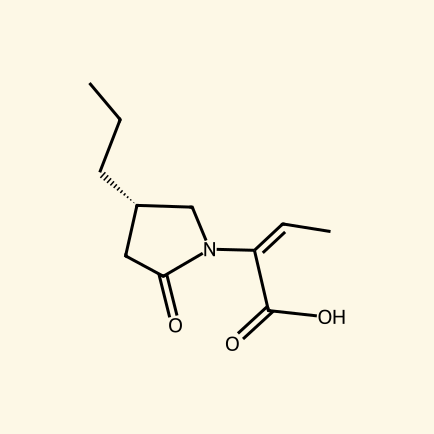 C/C=C(\C(=O)O)N1C[C@@H](CCC)CC1=O